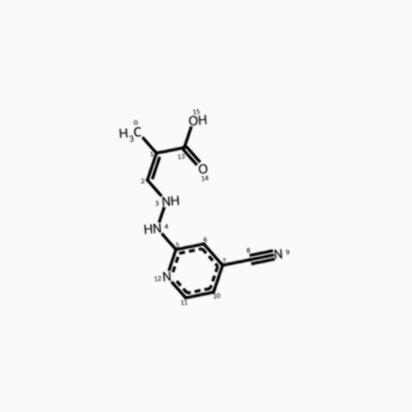 CC(=CNNc1cc(C#N)ccn1)C(=O)O